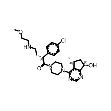 COCCNCC[C@@H](C(=O)N1CCN(c2ncnc3c2[C@H](C)C[C@H]3O)CC1)c1ccc(Cl)cc1